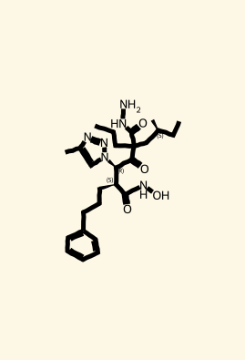 CCCC(C[C@@H](C)CC)(C(=O)NN)C(=O)[C@@H]([C@H](CCCc1ccccc1)C(=O)NO)n1cc(C)nn1